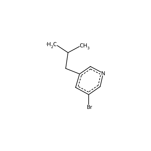 [CH2]C(C)Cc1cncc(Br)c1